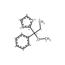 CCC(OC)(c1c[c]ccc1)c1nccs1